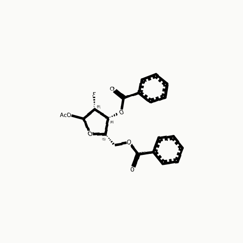 CC(=O)OC1O[C@@H](COC(=O)c2ccccc2)[C@@H](OC(=O)c2ccccc2)[C@H]1F